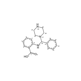 O=C(O)c1ccccc1NC(c1ccccc1)N1CCNCC1